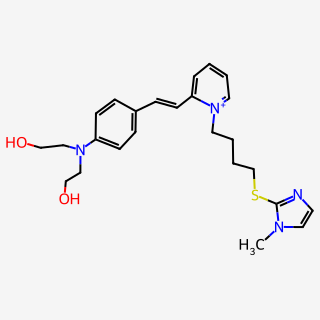 Cn1ccnc1SCCCC[n+]1ccccc1/C=C/c1ccc(N(CCO)CCO)cc1